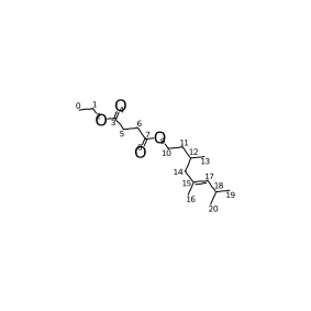 CCOC(=O)CCC(=O)OCCC(C)CC(C)=CC(C)C